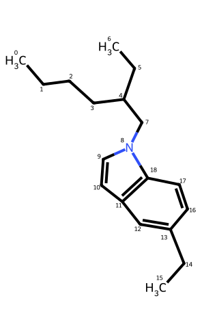 CCCCC(CC)Cn1ccc2cc(CC)ccc21